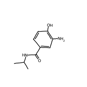 CC(C)NC(=O)c1ccc(O)c(N)c1